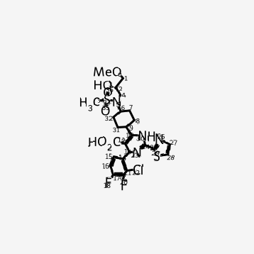 COC[C@@H](O)CN(C1CCC(C2=C(C(=O)O)C(c3ccc(F)c(F)c3Cl)N=C(c3nccs3)N2)CC1)S(C)(=O)=O